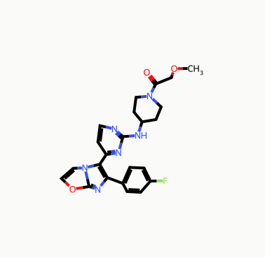 COCC(=O)N1CCC(Nc2nccc(-c3c(-c4ccc(F)cc4)nc4occn34)n2)CC1